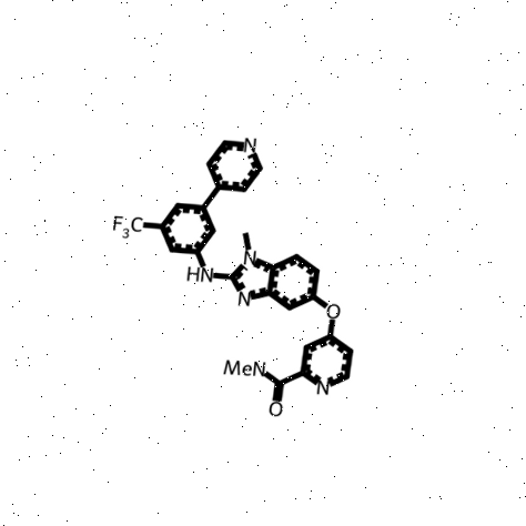 CNC(=O)c1cc(Oc2ccc3c(c2)nc(Nc2cc(-c4ccncc4)cc(C(F)(F)F)c2)n3C)ccn1